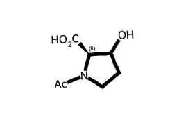 CC(=O)N1CCC(O)[C@@H]1C(=O)O